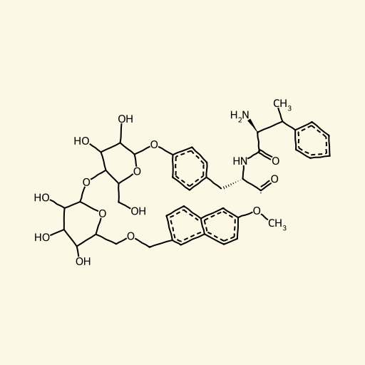 COc1ccc2cc(COCC3OC(OC4C(CO)OC(Oc5ccc(C[C@@H]([C]=O)NC(=O)[C@@H](N)C(C)c6ccccc6)cc5)C(O)C4O)C(O)C(O)C3O)ccc2c1